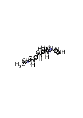 C=N/C(=C\C(=N/C)c1cnc2[nH]ccc2c1)Nc1cccc(NC(=O)c2ccc(NC(=O)/C=C/CN(C)C)cc2)c1